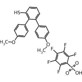 COc1ccc(-c2cccc(S)c2-c2ccc(OC)cc2)cc1.O=S(=O)(O)c1c(F)c(F)c(F)c(F)c1F